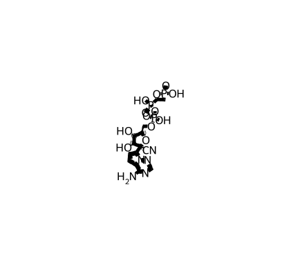 N#C[C@@]1(c2ccc3c(N)ncnn23)O[C@H](COP(=O)(O)OP(=O)(O)C2CP(=O)(O)O2)[C@@H](O)[C@H]1O